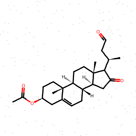 CC(=O)O[C@H]1CC[C@@]2(C)C(=CC[C@@H]3[C@@H]2CC[C@]2(C)C([C@H](C)CC=O)C(=O)C[C@@H]32)C1